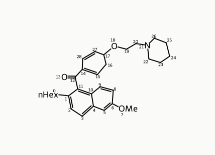 CCCCCCc1ccc2cc(OC)ccc2c1C(=O)C1=CCC(OCCN2CCCCC2)C=C1